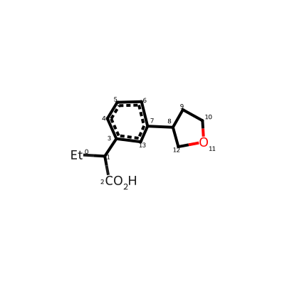 CCC(C(=O)O)c1cccc(C2CCOC2)c1